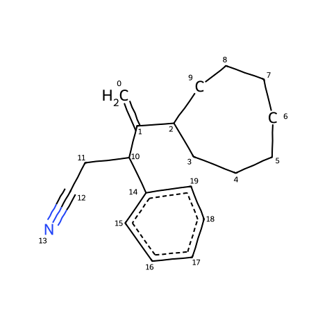 C=C(C1CCCCCCC1)C(CC#N)c1ccccc1